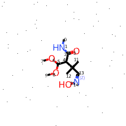 CNC(=O)C(C(OC)OC)C(C)(C)/C=N\O